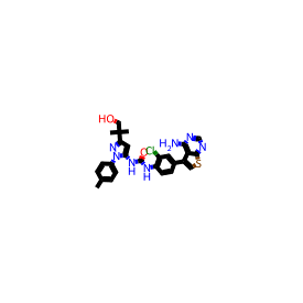 Cc1ccc(-n2nc(C(C)(C)CO)cc2NC(=O)Nc2ccc(-c3csc4ncnc(N)c34)cc2Cl)cc1